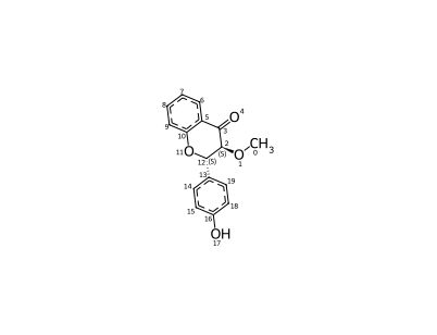 CO[C@@H]1C(=O)c2ccccc2O[C@H]1c1ccc(O)cc1